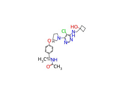 CC(=O)N[C@@H](C)c1ccc(O[C@@H]2CCN(c3ncnc(NCC4(O)CCC4)c3Cl)C2)cc1